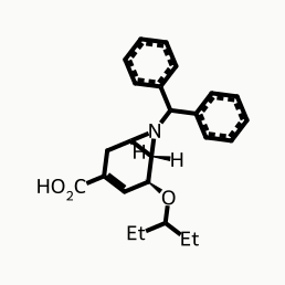 CCC(CC)O[C@H]1C=C(C(=O)O)C[C@H]2[C@@H]1N2C(c1ccccc1)c1ccccc1